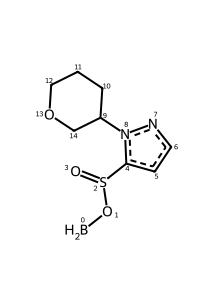 BOS(=O)c1ccnn1C1CCCOC1